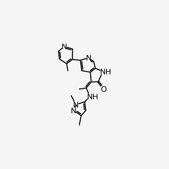 C/C(Nc1cc(C)nn1C)=C1/C(=O)Nc2cnc(-c3cnccc3C)cc21